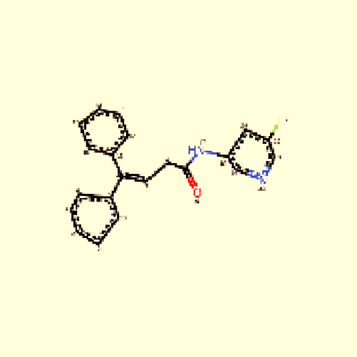 O=C(CC=C(c1ccccc1)c1ccccc1)Nc1cncc(F)c1